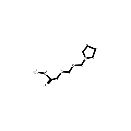 CC(C)(C)OC(=O)COCOCN1CCCC1